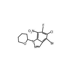 O=[N+]([O-])c1c(F)c(Cl)c(Br)c2cnn(C3CCCCO3)c12